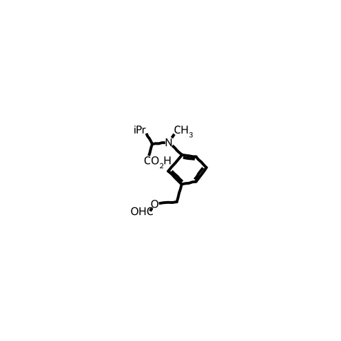 CC(C)C(C(=O)O)N(C)c1cccc(COC=O)c1